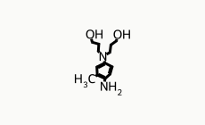 Cc1cc(N(CCCO)CCCO)ccc1N